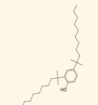 CCCCCCCCCC(C)(C)c1ccc(O)c(C(C)(C)CCCCCCCCC)c1